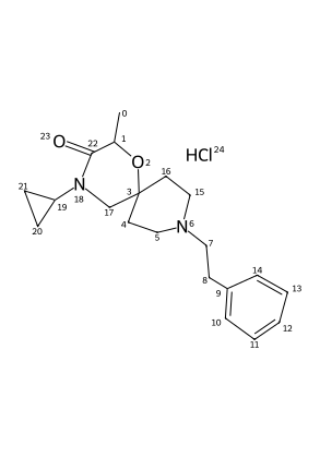 CC1OC2(CCN(CCc3ccccc3)CC2)CN(C2CC2)C1=O.Cl